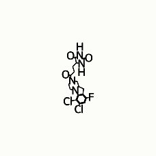 O=C1NC(=O)C(CCC(=O)N2CCN3c4c(Cl)c(Cl)cc(F)c4CC3C2)N1